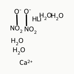 O.O.O.O.O=[N+]([O-])[O-].O=[N+]([O-])[O-].[Ca+2].[LiH]